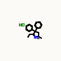 CCC1=N[C@H](C)CC1(c1ccccc1)c1ccccc1.Cl